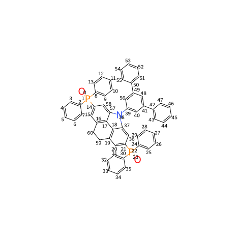 O=P(c1ccccc1)(c1ccccc1)c1cc2c3c4c(cc(P(=O)(c5ccccc5)c5ccccc5)cc4n(-c4cc(-c5ccccc5)cc(-c5ccccc5)c4)c3c1)CC2